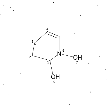 OC1CCC=CN1O